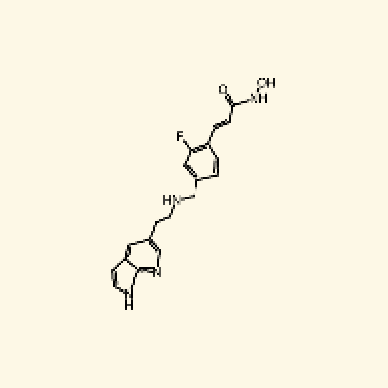 O=C(/C=C/c1ccc(CNCCc2cnc3[nH]ccc3c2)cc1F)NO